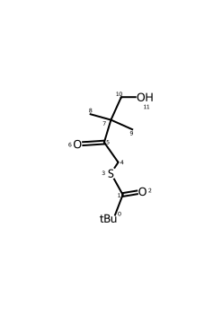 CC(C)(C)C(=O)SCC(=O)C(C)(C)CO